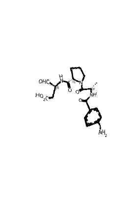 C[C@H](NC(=O)c1ccc(N)cc1)C(=O)N1CCC[C@H]1C(=O)N[C@H](C=O)CC(=O)O